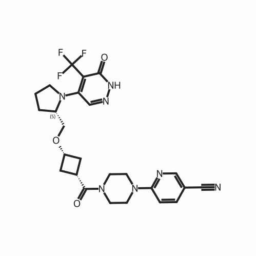 N#Cc1ccc(N2CCN(C(=O)[C@H]3C[C@@H](OC[C@@H]4CCCN4c4cn[nH]c(=O)c4C(F)(F)F)C3)CC2)nc1